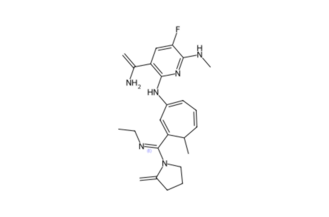 C=C(N)c1cc(F)c(NC)nc1NC1=CC=CC(C)C(/C(=N\CC)N2CCCC2=C)=C1